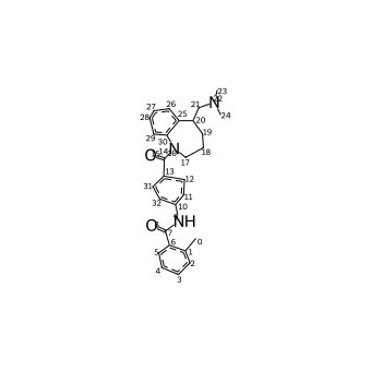 Cc1ccccc1C(=O)Nc1ccc(C(=O)N2CCCC(CN(C)C)c3ccccc32)cc1